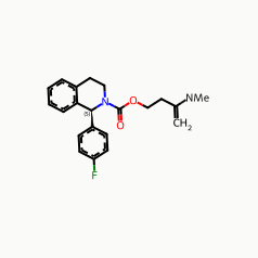 C=C(CCOC(=O)N1CCc2ccccc2[C@@H]1c1ccc(F)cc1)NC